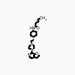 C/C=C/CC(=O)N[C@H]1CC[C@H](CCN2CCN(c3nccc4c3OCC4)CC2)CC1